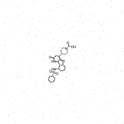 O=C(O)N1CCC(c2cc(=O)[nH]c3c4c(NS(=O)(=O)c5ccccc5)cccc4nn23)CC1